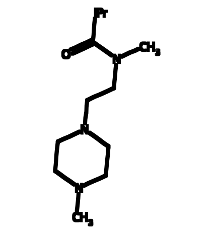 CC(C)C(=O)N(C)CCN1CCN(C)CC1